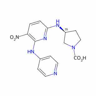 O=C(O)N1CC[C@H](Nc2ccc([N+](=O)[O-])c(Nc3ccncc3)n2)C1